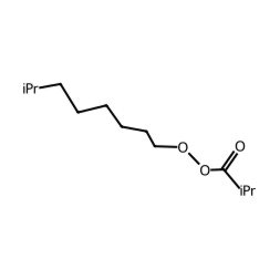 CC(C)CCCCCCOOC(=O)C(C)C